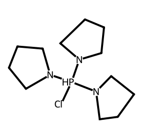 Cl[PH](N1CCCC1)(N1CCCC1)N1CCCC1